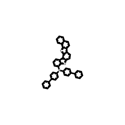 c1ccc(-c2ccc(N(c3ccc(-c4ccccc4)cc3)c3cccc4c3oc3ccc5c6ccc7ccccc7c6sc5c34)cc2)cc1